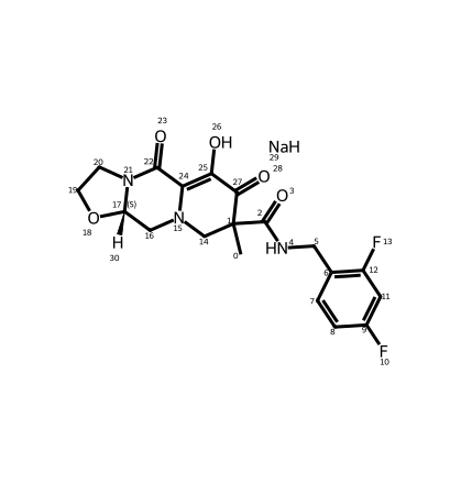 CC1(C(=O)NCc2ccc(F)cc2F)CN2C[C@@H]3OCCN3C(=O)C2=C(O)C1=O.[NaH]